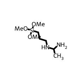 CO[Si](CCCNC(C)N)(OC)OC